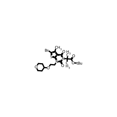 Cc1c(Br)sc2c1c(=O)n(C(C)(C)C(=O)OC(C)(C)C)c(=O)n2CCOC1CCOCC1